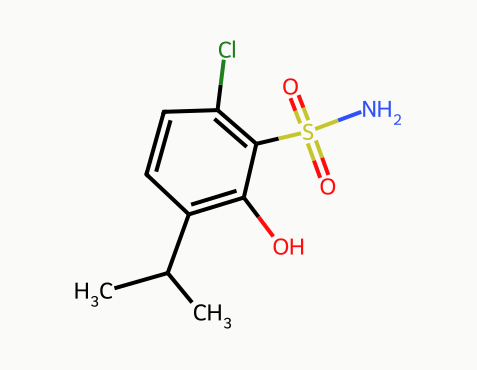 CC(C)c1ccc(Cl)c(S(N)(=O)=O)c1O